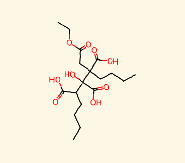 CCCCC(C(=O)O)C(O)(C(=O)O)C(CCCC)(CC(=O)OCC)C(=O)O